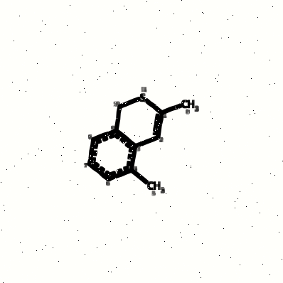 CC1=Cc2c(C)cccc2CS1